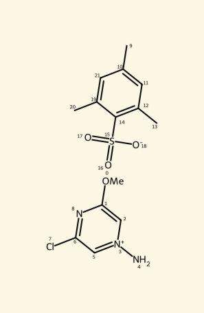 COc1c[n+](N)cc(Cl)n1.Cc1cc(C)c(S(=O)(=O)[O-])c(C)c1